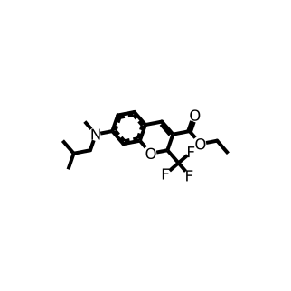 CCOC(=O)C1=Cc2ccc(N(C)CC(C)C)cc2OC1C(F)(F)F